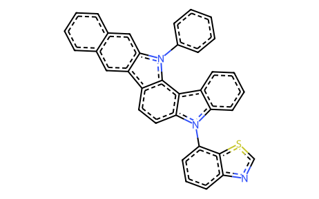 c1ccc(-n2c3cc4ccccc4cc3c3ccc4c(c5ccccc5n4-c4cccc5ncsc45)c32)cc1